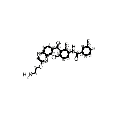 NCCOc1cnc2ccc(C(=O)c3c(Cl)ccc(NC(=O)c4cccc(F)c4)c3F)cc2n1